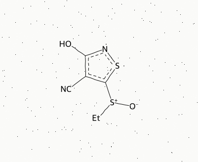 CC[S+]([O-])c1snc(O)c1C#N